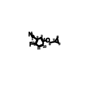 N#Cc1cc(OCC2CC2)ccc1F